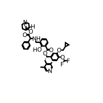 Cc1cncc(C)c1C[C@H](OC(=O)c1cccc(CNC(C(=O)O[C@H]2CN3CCC2CC3)c2ccccc2)c1O)c1ccc(OC(F)F)c(OCC2CC2)c1